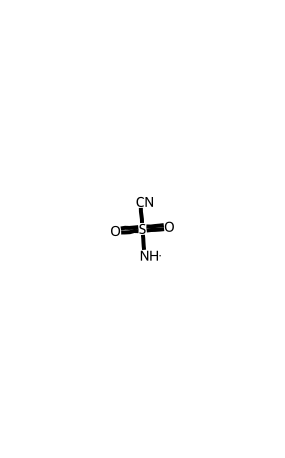 N#CS([NH])(=O)=O